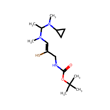 CC(N(C)/C=C(\S)CNC(=O)OC(C)(C)C)N(C)C1CC1